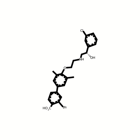 Cc1cc(-c2ccc(C(=O)O)c(C(C)C)c2)cc(C)c1OCCNC[C@@H](O)c1cccc(Cl)c1